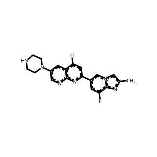 Cc1cn2cc(-c3cc(Cl)c4cc(N5CCNCC5)cnc4n3)cc(F)c2n1